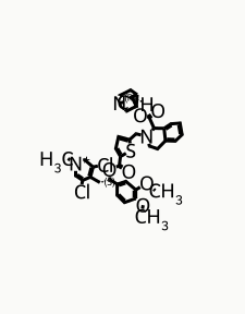 COc1ccc([C@H](Cc2c(Cl)c[n+](C)cc2Cl)OC(=O)c2ccc(CN3CCc4ccccc4C3C(=O)O[C@H]3CN4CCC3CC4)s2)cc1OC